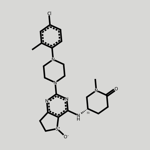 Cc1cc(Cl)ccc1N1CCN(c2nc3c(c(N[C@H]4CCC(=O)N(C)C4)n2)[S+]([O-])CC3)CC1